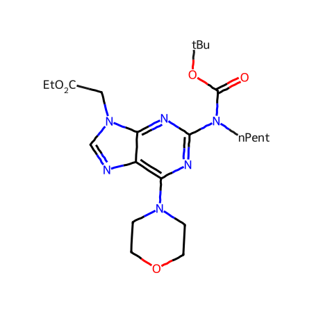 CCCCCN(C(=O)OC(C)(C)C)c1nc(N2CCOCC2)c2ncn(CC(=O)OCC)c2n1